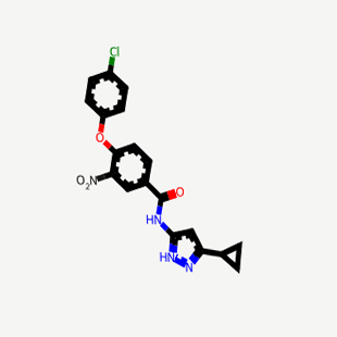 O=C(Nc1cc(C2CC2)n[nH]1)c1ccc(Oc2ccc(Cl)cc2)c([N+](=O)[O-])c1